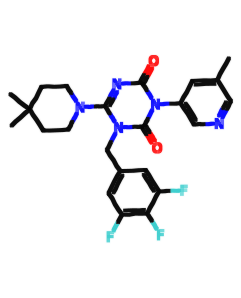 Cc1cncc(-n2c(=O)nc(N3CCC(C)(C)CC3)n(Cc3cc(F)c(F)c(F)c3)c2=O)c1